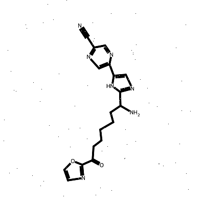 N#Cc1cnc(-c2cnc(C(N)CCCCCC(=O)c3ncco3)[nH]2)cn1